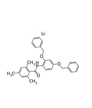 Cc1cc(C)c(C(=O)Pc2ccc(OCc3ccccc3)cc2OCc2ccccc2)c(C)c1.[Li]